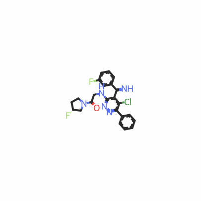 N=C(c1cccc(F)c1)c1c(NCC(=O)N2CC[C@@H](F)C2)nnc(-c2ccccc2)c1Cl